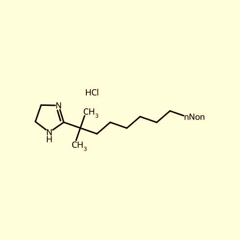 CCCCCCCCCCCCCCCC(C)(C)C1=NCCN1.Cl